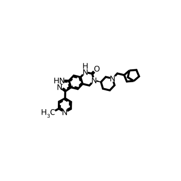 Cc1cc(-c2n[nH]c3cc4c(cc23)CN([C@@H]2CCCN(CC3CC5CCC3C5)C2)C(=O)N4)ccn1